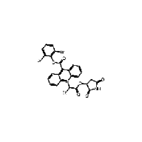 CCC(C(=O)OC1CC(=O)NC1=O)[n+]1c2ccccc2c(C(=O)Oc2c(Br)cccc2Br)c2ccccc21